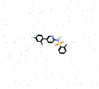 Cc1cc(F)ccc1-c1ccc(N(Cl)S(=O)(=O)c2ccccc2C)nc1